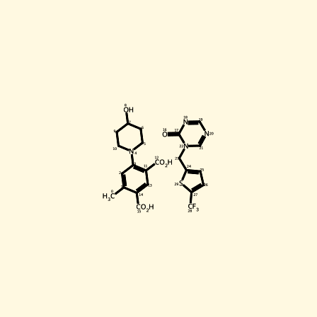 Cc1cc(N2CCC(O)CC2)c(C(=O)O)cc1C(=O)O.O=c1ncncn1Cc1ccc(C(F)(F)F)s1